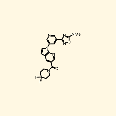 CNc1nc(-c2cncc(-n3ccc4cc(C(=O)N5CCC(F)(F)CC5)cnc43)c2)no1